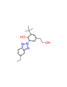 CCc1ccc2nn(-c3cc(CCO)cc(C(C)(C)C)c3O)nc2c1